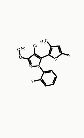 CC(=O)OOc1nn(-c2ccccc2F)c(-c2sc(F)cc2C)c1Cl